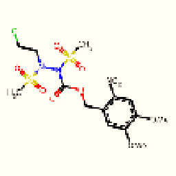 COc1cc(COC(=O)N(N(CCCl)S(C)(=O)=O)S(C)(=O)=O)c([N+](=O)[O-])cc1OC